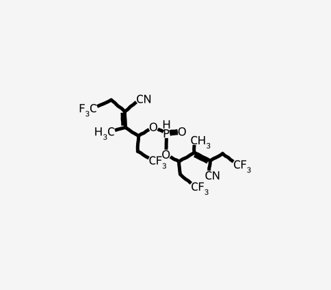 CC(=C(C#N)CC(F)(F)F)C(CC(F)(F)F)O[PH](=O)OC(CC(F)(F)F)C(C)=C(C#N)CC(F)(F)F